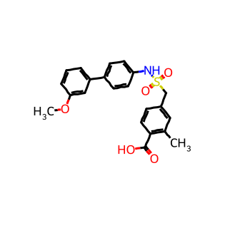 COc1cccc(-c2ccc(NS(=O)(=O)Cc3ccc(C(=O)O)c(C)c3)cc2)c1